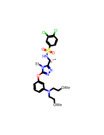 CCn1c(Oc2cccc(N(CCOC)CCOC)c2)nnc1[C@@H](C)NS(=O)(=O)c1ccc(Cl)c(Cl)c1